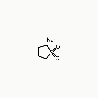 O=S1(=O)CCCC1.[Na]